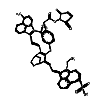 CCn1/c(=C\C=C2C(Sc3ccc(CC(=O)ON4C(=O)CCC4=O)cc3)=C(/C=C/C3=[N+](CC)c4ccc(C)c5cccc3c45)C3CCC\2C3)c2cccc3c(S(=O)(=O)O)ccc1c32